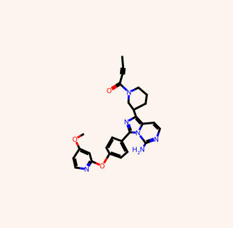 CC#CC(=O)N1CCCC(c2nc(-c3ccc(Oc4cc(OC)ccn4)cc3)n3c(N)nccc23)C1